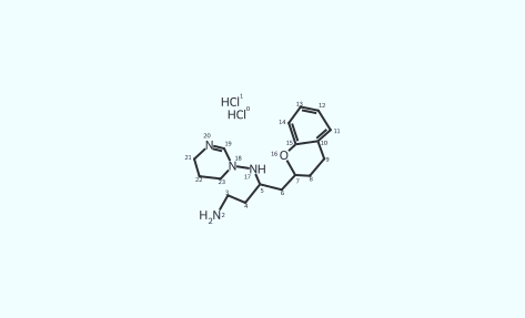 Cl.Cl.NCCC(CC1CCc2ccccc2O1)NN1C=NCCC1